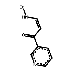 CCN/C=C\C(=O)c1cccnc1